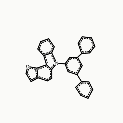 c1ccc(-c2cc(-c3ccccc3)cc(-n3c4ccccc4c4c5occc5ccc43)c2)cc1